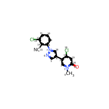 Cn1cc(-c2cnn(-c3cccc(Cl)c3C#N)c2)c(Cl)cc1=O